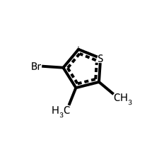 Cc1s[c]c(Br)c1C